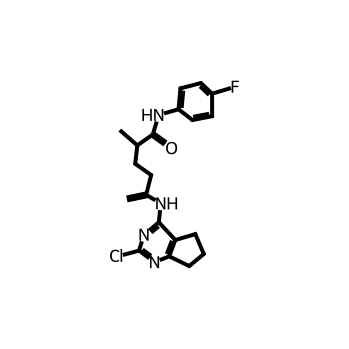 C=C(CCC(C)C(=O)Nc1ccc(F)cc1)Nc1nc(Cl)nc2c1CCC2